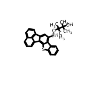 CC(C)(O)C(C)(C)OBc1cc2c(c3sc4ccccc4c13)-c1cccc3cccc-2c13